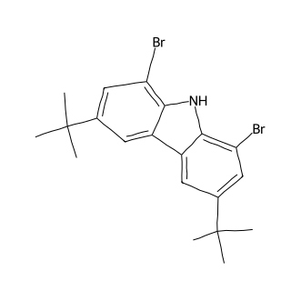 CC(C)(C)c1cc(Br)c2[nH]c3c(Br)cc(C(C)(C)C)cc3c2c1